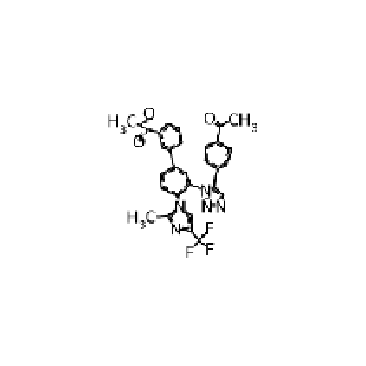 CC(=O)c1ccc(-c2cnnn2-c2cc(-c3cccc(S(C)(=O)=O)c3)ccc2-n2cc(C(F)(F)F)nc2C)cc1